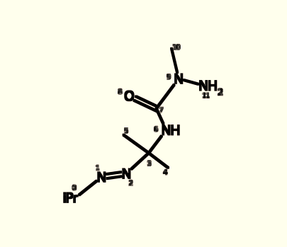 CC(C)/N=N/C(C)(C)NC(=O)N(C)N